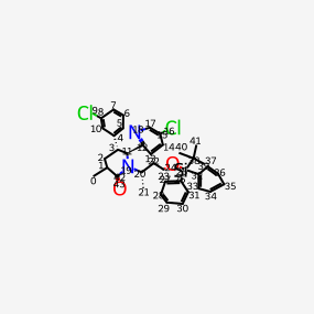 CC1C[C@H](c2cccc(Cl)c2)[C@@H](c2ccc(Cl)cn2)N([C@@H](C)CCO[Si](c2ccccc2)(c2ccccc2)C(C)(C)C)C1=O